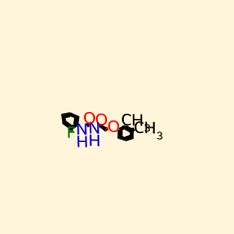 Cc1cccc(OCC(=O)NC(=O)Nc2ccccc2F)c1C